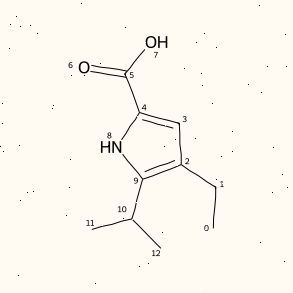 CCc1cc(C(=O)O)[nH]c1C(C)C